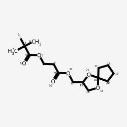 CC(C)(I)C(=O)OCCC(=O)OCC1COC2(CCCC2)O1